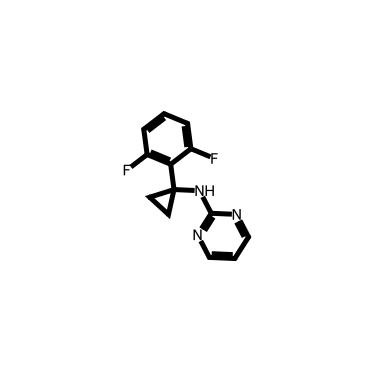 Fc1cccc(F)c1C1(Nc2ncccn2)CC1